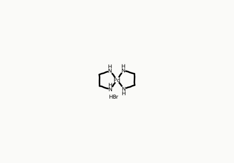 Br.C1C[NH][Pd]2([NH]1)[NH]CC[NH]2